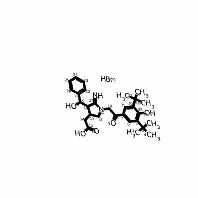 Br.CC(C)(C)c1cc(C(=O)CN2CC(CC(=O)O)C(C(O)c3ccccc3)C2=N)cc(C(C)(C)C)c1O